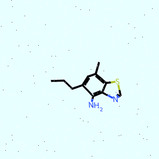 CCCc1cc(C)c2scnc2c1N